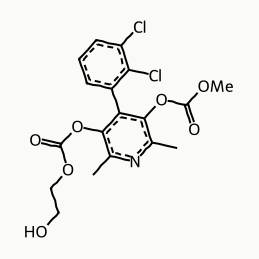 COC(=O)Oc1c(C)nc(C)c(OC(=O)OCCO)c1-c1cccc(Cl)c1Cl